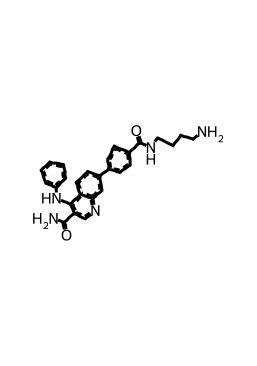 NCCCCNC(=O)c1ccc(-c2ccc3c(Nc4ccccc4)c(C(N)=O)cnc3c2)cc1